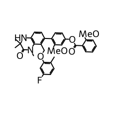 COc1ccccc1C(=O)Oc1ccc(-c2ccc3c(c2COc2cc(F)ccc2C)N(C)C(=O)C(C)(C)N3)c(OC)c1